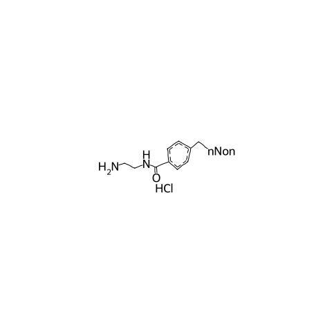 CCCCCCCCCCc1ccc(C(=O)NCCN)cc1.Cl